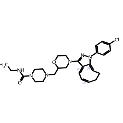 CCNC(=O)N1CCN(CC2CN(c3nn(-c4ccc(Cl)cc4)c4/c3=C\C=C/CC/C=4)CCO2)CC1